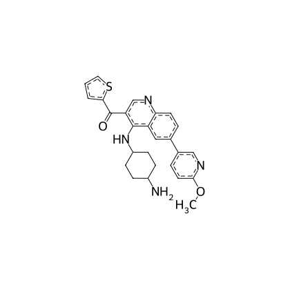 COc1ccc(-c2ccc3ncc(C(=O)c4cccs4)c(NC4CCC(N)CC4)c3c2)cn1